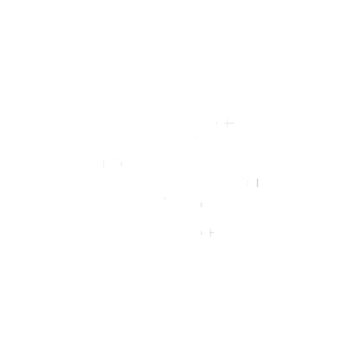 O[C@@H]1[C@H](C(F)(F)F)O[C@H](O)C[C@@H]1O